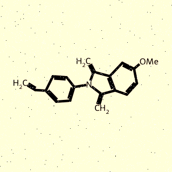 C=Cc1ccc(-n2c(=C)c3ccc(OC)cc3c2=C)cc1